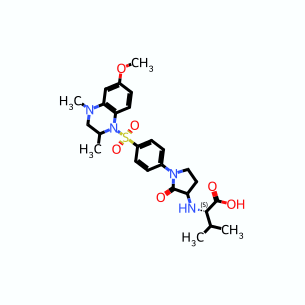 COc1ccc2c(c1)N(C)CC(C)N2S(=O)(=O)c1ccc(N2CCC(N[C@H](C(=O)O)C(C)C)C2=O)cc1